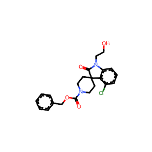 O=C(OCc1ccccc1)N1CCC2(CC1)C(=O)N(CCO)c1cccc(Cl)c12